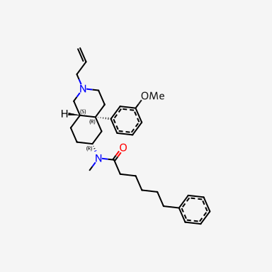 C=CCN1CC[C@@]2(c3cccc(OC)c3)C[C@H](N(C)C(=O)CCCCCc3ccccc3)CC[C@@H]2C1